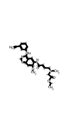 C#Cc1cccc(Nc2ncnc3cc(OC)c(NC(=O)C=CCN(C)CC(=O)OCC)cc23)c1